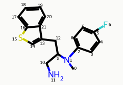 CN(c1ccc(F)cc1)C(CN)Cc1csc2ccccc12